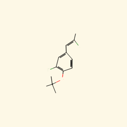 CC(F)=Cc1ccc(OC(C)(C)C)c(F)c1